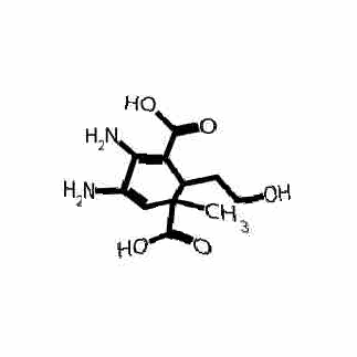 CC1(C(=O)O)C=C(N)C(N)=C(C(=O)O)C1CCO